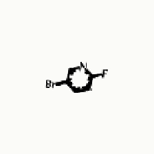 Fc1[c]cc(Br)cn1